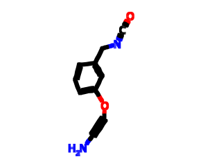 NC#COc1cccc(CN=C=O)c1